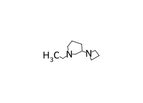 CCN1CCCC(N2CCC2)C1